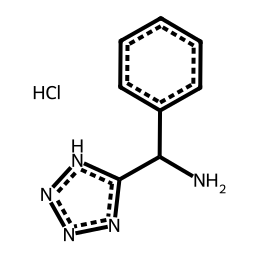 Cl.NC(c1ccccc1)c1nnn[nH]1